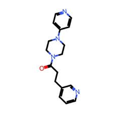 O=C(CCc1cccnc1)N1CCN(c2ccncc2)CC1